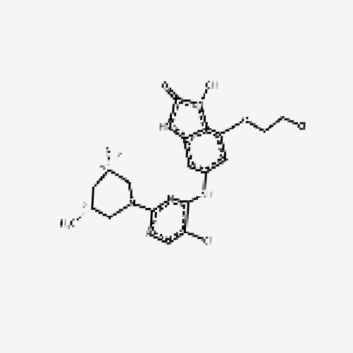 C[C@@H]1C[C@H](N)CN(c2ncc(Cl)c(Nc3cc(OCCCl)c4c(c3)[nH]c(=O)n4C)n2)C1